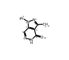 Cc1nn(C(C)C)c2cn[nH]c(=O)c12